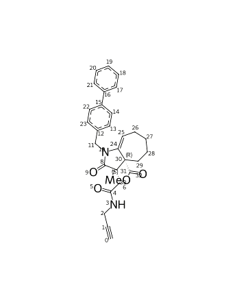 C#CCNC(=O)C[C@@H]1C(=O)N(Cc2ccc(-c3ccccc3)cc2)C2=CCCCC[C@]21C(=O)OC